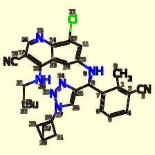 Cc1c(C#N)cccc1[C@H](Nc1cc(Cl)c2ncc(C#N)c(NCC(C)(C)C)c2c1)c1cn(C23CC(C2)C3)nn1